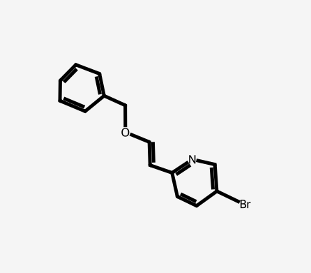 Brc1ccc(C=COCc2ccccc2)nc1